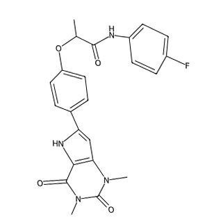 CC(Oc1ccc(-c2cc3c([nH]2)c(=O)n(C)c(=O)n3C)cc1)C(=O)Nc1ccc(F)cc1